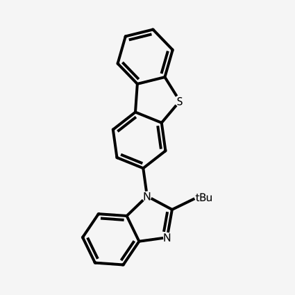 CC(C)(C)c1nc2ccccc2n1-c1ccc2c(c1)sc1ccccc12